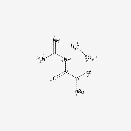 CCCCC(CC)C(=O)NC(=N)N.CS(=O)(=O)O